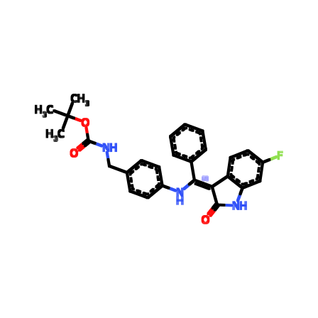 CC(C)(C)OC(=O)NCc1ccc(N/C(=C2\C(=O)Nc3cc(F)ccc32)c2ccccc2)cc1